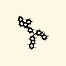 c1ccc2c(c1)ccc1cc(-c3ccc(N(c4ccc5c(c4)oc4ccccc45)c4ccc5oc6ccccc6c5c4)cc3)c3ccccc3c12